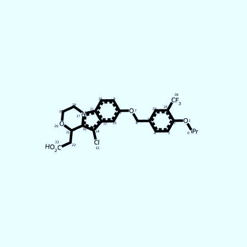 CC(C)Oc1ccc(COc2ccc3c(c2)c(Cl)c2n3CCOC2CC(=O)O)cc1C(F)(F)F